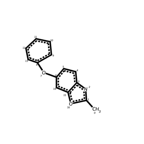 Cc1nc2ccc(Oc3ccccc3)cc2o1